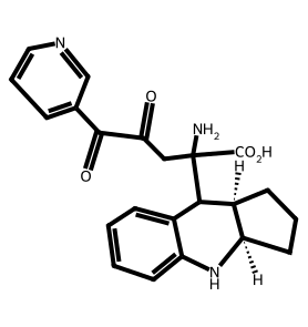 NC(CC(=O)C(=O)c1cccnc1)(C(=O)O)C1c2ccccc2N[C@@H]2CCC[C@H]12